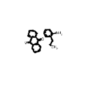 C=CCc1ccccc1N.O=C1c2ccccc2C(=O)c2ccccc21